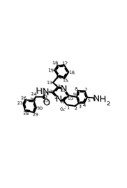 C[C@H]1Cc2cc(N)ccc2-c2nc(Cc3ccccc3)c(NC(=O)Cc3ccccc3)nc21